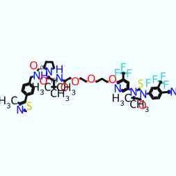 Cc1ncsc1-c1ccc(CNC(=O)[C@@H]2CCCN2C(=O)[C@@H](NC(=O)COCCOCCCOc2ncc(N3C(=S)N(c4ccc(C#N)c(C(F)(F)F)c4F)C(=O)C3(C)C)cc2C(F)(F)F)C(C)(C)C)cc1